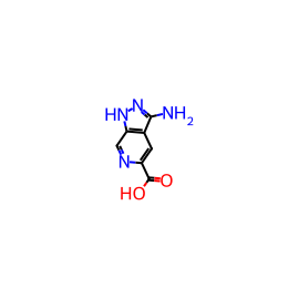 Nc1n[nH]c2cnc(C(=O)O)cc12